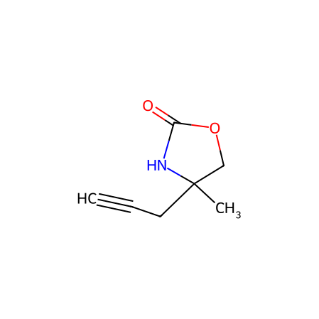 C#CCC1(C)COC(=O)N1